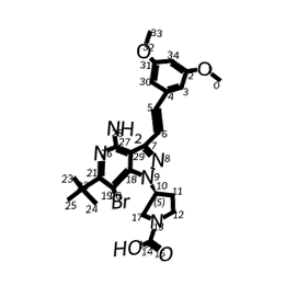 COc1cc(C#Cc2nn([C@H]3CCN(C(=O)O)C3)c3c(Br)c(C(C)(C)C)nc(N)c23)cc(OC)c1